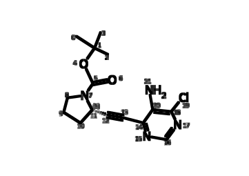 CC(C)(C)OC(=O)N1CCC[C@H]1C#Cc1ncnc(Cl)c1N